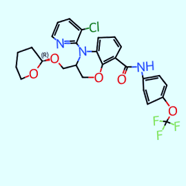 O=C(Nc1ccc(OC(F)(F)F)cc1)c1cccc2c1OCC(CO[C@@H]1CCCCO1)N2c1ncccc1Cl